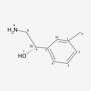 Cc1cccc([C@H](O)CN)c1